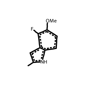 COc1ccc2[nH]c(C)cc2c1F